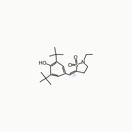 CCN1CC/C(=C/c2cc(C(C)(C)C)c(O)c(C(C)(C)C)c2)S1(=O)=O